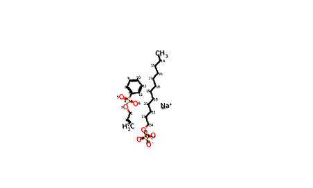 C=CCOS(=O)(=O)c1ccccc1.CCCCCCCCCCCCOS(=O)(=O)[O-].[Na+]